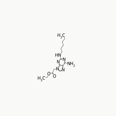 CCCCCCNc1nc(N)c2ncn(CC(=O)OCC)c2n1